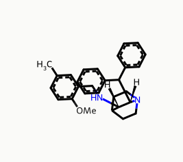 COc1ccc(C)cc1CN[C@H]1C2CCN(CC2)[C@H]1C(c1ccccc1)c1ccccc1